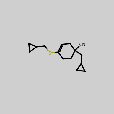 N#CC1(CC2CC2)CC=C(SCC2CC2)CC1